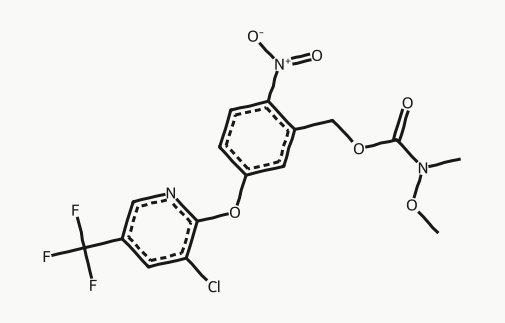 CON(C)C(=O)OCc1cc(Oc2ncc(C(F)(F)F)cc2Cl)ccc1[N+](=O)[O-]